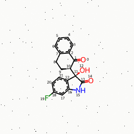 O=C1c2ccccc2CC[C@@H]1[C@]1(O)C(=O)Nc2cc(F)ccc21